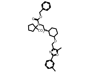 Cc1cccc(-c2nc(COC3CCCC(CCN(C(=O)OCc4ccccc4)C4(C(=O)O)CCCC4)C3)c(C)o2)c1